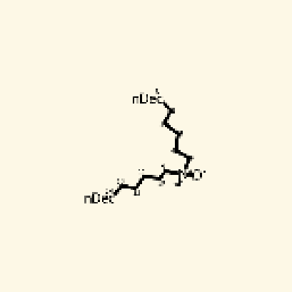 CCCCCCCCCCCCCCC[N+](C)([O-])CCCCCCCCCCCCCCC